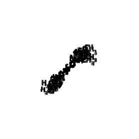 COC(=O)N[C@H](C(=O)N1[C@@H](C)CC[C@H]1c1nc2cc(-c3cc4sc(-c5ccc6[nH]c([C@@H]7CC[C@H](C)N7C(=O)[C@@H](NC(=O)OC)C(C)C)nc6c5)cc4s3)ccc2[nH]1)C(C)C